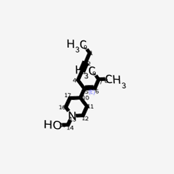 CCC#CC/C(=C\C(C)C)C1CCN(CO)CC1